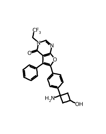 NC1(c2ccc(-c3oc4ncn(CC(F)(F)F)c(=O)c4c3-c3ccccc3)cc2)CC(O)C1